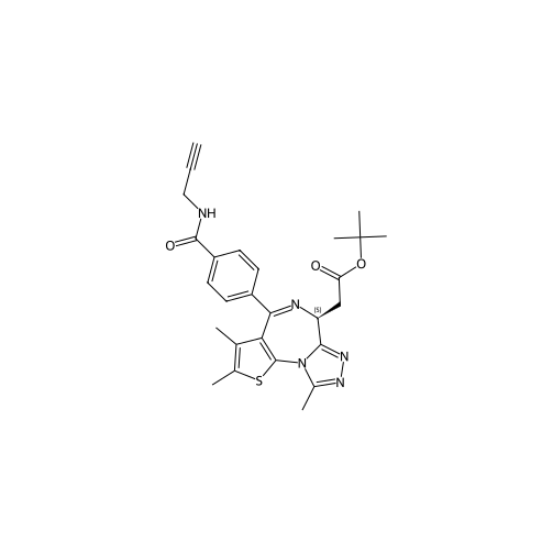 C#CCNC(=O)c1ccc(C2=N[C@@H](CC(=O)OC(C)(C)C)c3nnc(C)n3-c3sc(C)c(C)c32)cc1